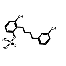 O=P(O)(O)Oc1cccc(O)c1CCCCc1cccc(O)c1